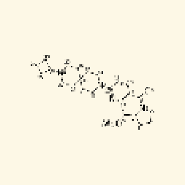 COC[C@@H]1CCCN1C(=O)c1ccc(N2CCC3(CC2)CCN(C2CCC2)CC3)nc1